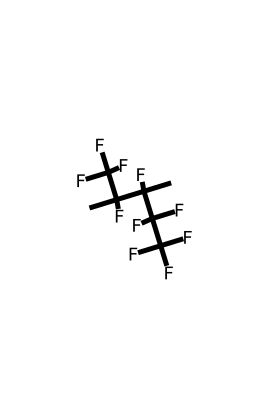 CC(F)(C(F)(F)F)C(C)(F)C(F)(F)C(F)(F)F